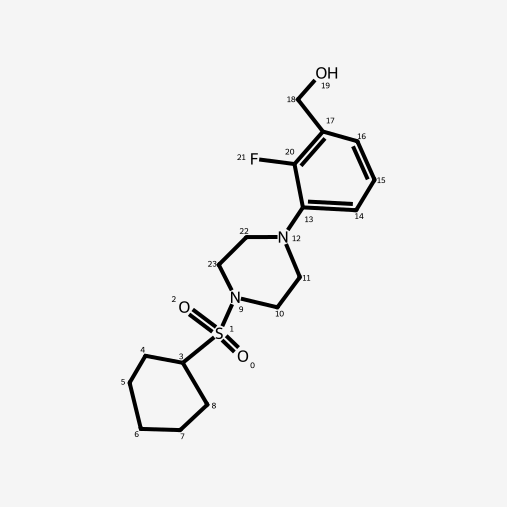 O=S(=O)(C1CCCCC1)N1CCN(c2cccc(CO)c2F)CC1